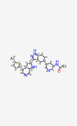 CCC(=O)Nc1cncc(-c2ccc3[nH]nc(-c4cc5c(-c6ccc(C(C)=O)s6)cncc5[nH]4)c3c2)c1